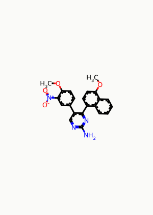 COc1ccc(-c2cnc(N)nc2-c2ccc(OC)c3ccccc23)cc1[N+](=O)[O-]